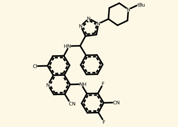 CC(C)(C)N1CCC(n2cc(C(Nc3cc(Cl)c4ncc(C#N)c(Nc5ccc(F)c(C#N)c5F)c4c3)c3ccccc3)nn2)CC1